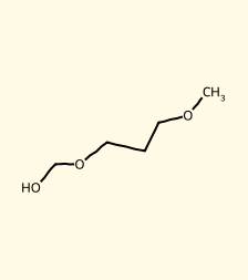 COCCCOCO